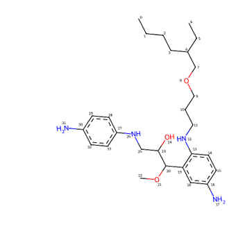 CCCCC(CC)COCCCNc1ccc(N)cc1C(OC)C(O)CNc1ccc(N)cc1